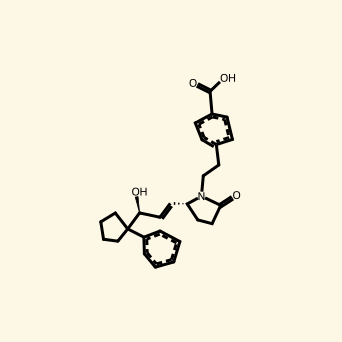 O=C(O)c1ccc(CCN2C(=O)CC[C@@H]2/C=C/[C@H](O)C2(c3ccccc3)CCCC2)cc1